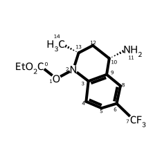 CCOC(=O)ON1c2ccc(C(F)(F)F)cc2[C@@H](N)C[C@H]1C